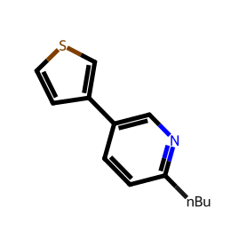 CCCCc1ccc(-c2ccsc2)cn1